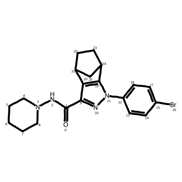 O=C(NN1CCCCC1)c1nn(-c2ccc(Br)cc2)c2c1C1CCC2C1